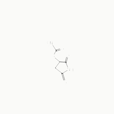 NC(=O)OC1CC(=O)NC1=O